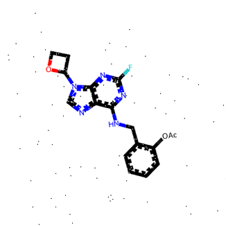 CC(=O)Oc1ccccc1CNc1nc(F)nc2c1ncn2C1CCO1